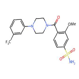 COc1cc(S(N)(=O)=O)ccc1C(=O)N1CCN(c2cccc(C(F)(F)F)c2)CC1